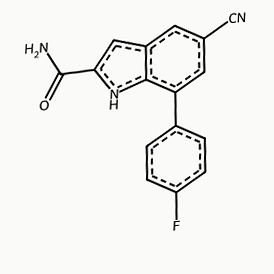 N#Cc1cc(-c2ccc(F)cc2)c2[nH]c(C(N)=O)cc2c1